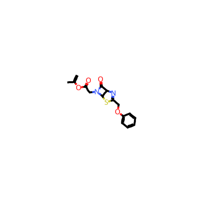 C=C(C)OC(=O)CN1C(=O)C2N=C(COc3ccccc3)SC21